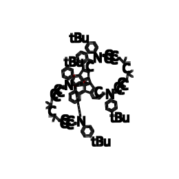 CC(C)(C)c1ccc(N2c3ccc(cc3)C(C)(C)CC(C)(C)c3ccc(cc3)N(c3ccc(C(C)(C)C)cc3)c3cc4c(c5ccccc35)-c3ccc5cc3C4(C)C3(C)c4cc2ccc4-c2c3cc(c3ccccc23)N(c2ccc(C(C)(C)C)cc2)c2ccc(cc2)C(C)(C)CC(C)(C)c2ccc(cc2)N5c2ccc(C(C)(C)C)cc2)cc1